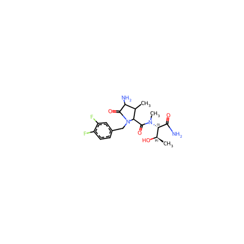 CC1C(N)C(=O)N(Cc2ccc(F)c(F)c2)C1C(=O)N(C)[C@H](C(N)=O)[C@@H](C)O